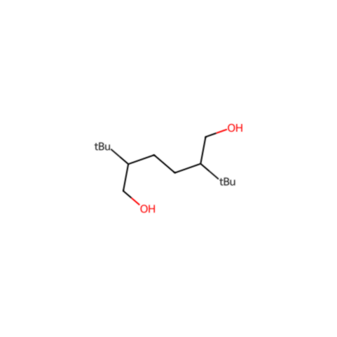 CC(C)(C)C(CO)CCC(CO)C(C)(C)C